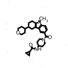 Cn1c2c(c3cc(C(=O)N4CCC(NC(=O)C5CC5)CC4)ccc31)CC(C1CCOCC1)CC2